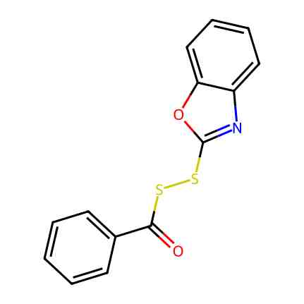 O=C(SSc1nc2ccccc2o1)c1ccccc1